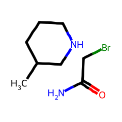 CC1CCCNC1.NC(=O)CBr